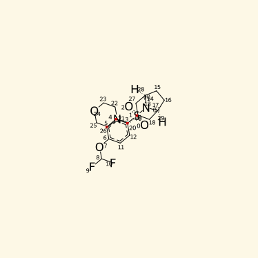 O=S(=O)(c1ccc(OC(F)F)cc1)N1[C@@H]2CC[C@H]1C[C@H](CN1CCOCC1)C2